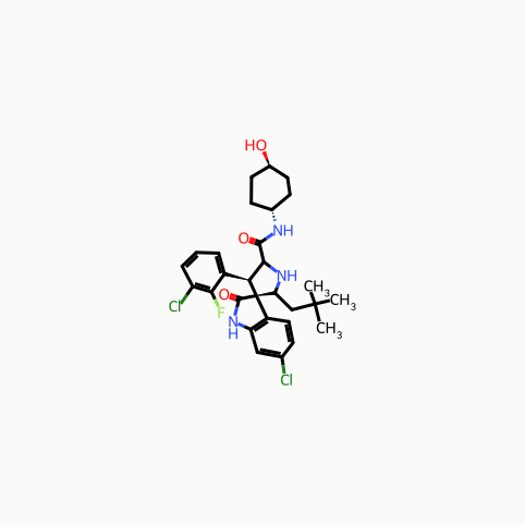 CC(C)(C)CC1NC(C(=O)N[C@H]2CC[C@H](O)CC2)[C@H](c2cccc(Cl)c2F)[C@]12C(=O)Nc1cc(Cl)ccc12